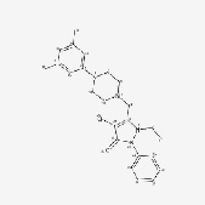 CCn1c(CN2CCN(c3cc(C)cc(C)c3)CC2)c(Cl)c(=O)n1-c1ccccc1